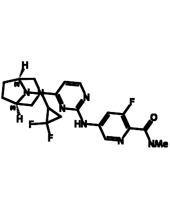 CNC(=O)c1ncc(Nc2nccc(N3C[C@H]4CC[C@@H](C3)N4CC3CC3(F)F)n2)cc1F